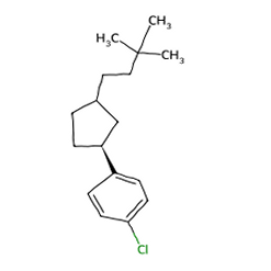 CC(C)(C)CCC1CC[C@H](c2ccc(Cl)cc2)C1